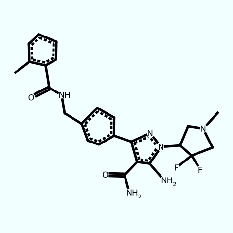 Cc1ccccc1C(=O)NCc1ccc(-c2nn(C3CN(C)CC3(F)F)c(N)c2C(N)=O)cc1